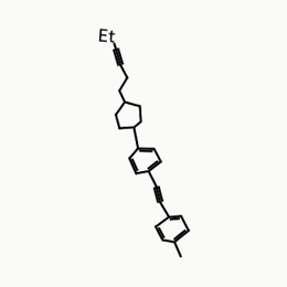 CCC#CCCC1CCC(c2ccc(C#Cc3ccc(C)cc3)cc2)CC1